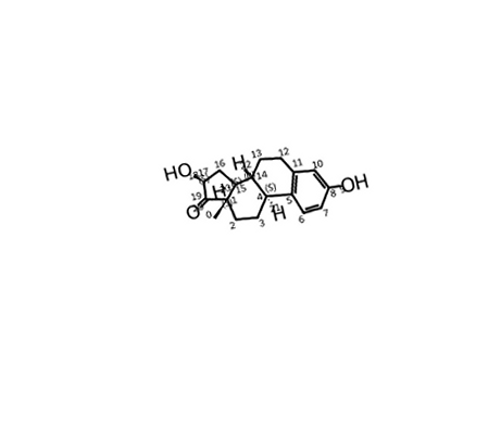 C[C@]12CC[C@@H]3c4ccc(O)cc4CC[C@H]3[C@@H]1C[C@H](O)C2=O